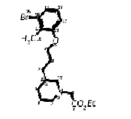 CCOC(=O)CN1CCC[C@@H](CCCOc2cccc(Br)c2C)C1